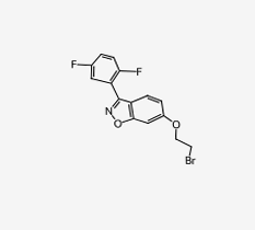 Fc1ccc(F)c(-c2noc3cc(OCCBr)ccc23)c1